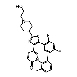 Cc1cccc(C)c1-n1cc(-c2nc(C3CCN(CCO)CC3)sc2-c2ccc(F)cc2F)ccc1=O